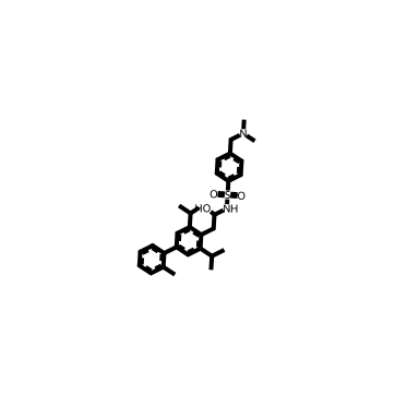 Cc1ccccc1-c1cc(C(C)C)c(CC(O)NS(=O)(=O)c2ccc(CN(C)C)cc2)c(C(C)C)c1